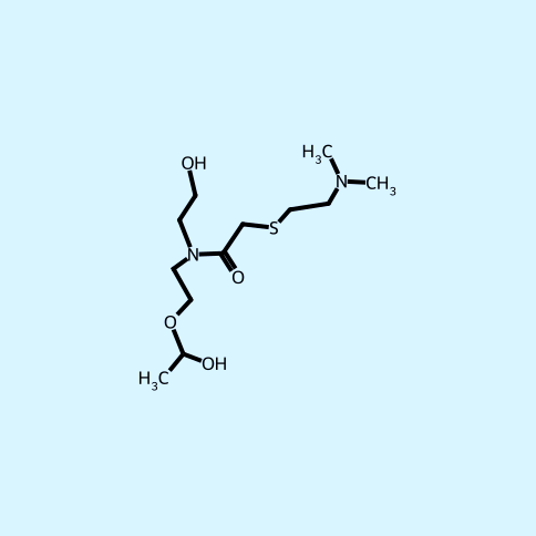 CC(O)OCCN(CCO)C(=O)CSCCN(C)C